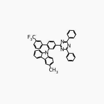 Cc1ccc2c(c1)c1ccccc1n2-c1cc(-c2nc(-c3ccccc3)nc(-c3ccccc3)n2)ccc1-c1cccc(C(F)(F)F)c1